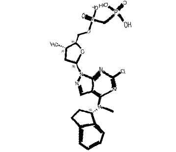 CN(c1nc(Cl)nc2c1cnn2[C@H]1C[C@H](O)[C@@H](COP(=O)(O)CP(=O)(O)O)O1)[C@H]1CCc2ccccc21